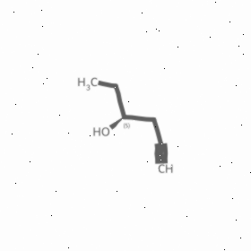 C#CC[C@@H](O)CC